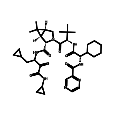 CC(C)(C)[C@H](NC(=O)[C@@H](NC(=O)c1cnccn1)C1CCCCC1)C(=O)N1C[C@H]2[C@@H]([C@H]1C(=O)NC(CC1CC1)C(=O)C(=O)NC1CC1)C2(C)C